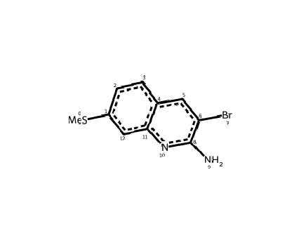 [CH2]Sc1ccc2cc(Br)c(N)nc2c1